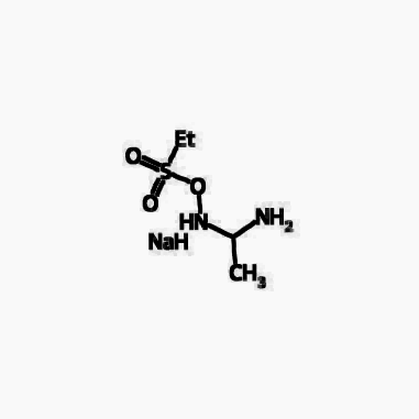 CCS(=O)(=O)ONC(C)N.[NaH]